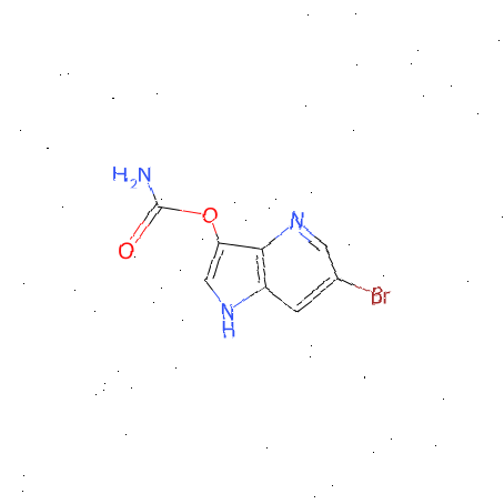 NC(=O)Oc1c[nH]c2cc(Br)cnc12